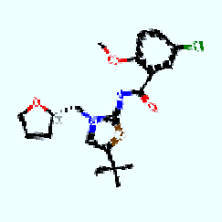 COc1ccc(Cl)cc1C(=O)N=c1sc(C(C)(C)C)cn1C[C@@H]1CCCO1